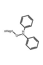 CCCCCCCO[SiH](c1ccccc1)c1ccccc1